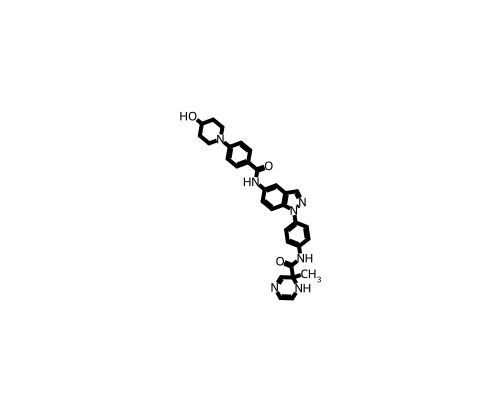 CC1(C(=O)Nc2ccc(-n3ncc4cc(NC(=O)c5ccc(N6CCC(O)CC6)cc5)ccc43)cc2)C=NC=CN1